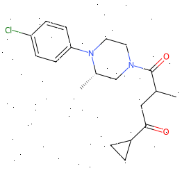 CC(CC(=O)C1CC1)C(=O)N1CCN(c2ccc(Cl)cc2)[C@@H](C)C1